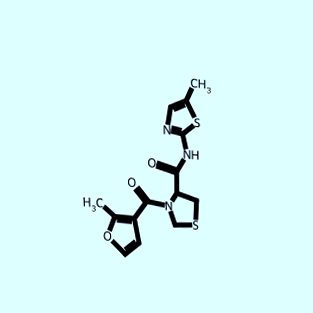 Cc1cnc(NC(=O)C2CSCN2C(=O)c2ccoc2C)s1